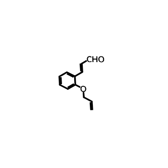 C=CCOc1ccccc1C=CC=O